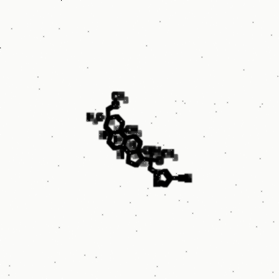 COC[C@@]1(C)CC[C@@]2(C)[C@H](CC[C@@H]3[C@@H]2CC[C@@]2(C)[C@H]3CC[C@@H]2[C@@](C)(Cn2cc(C#N)cn2)OC)C1